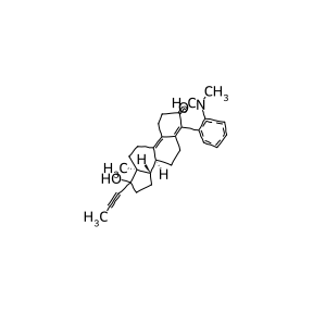 CC#CC1(O)CC[C@H]2[C@@H]3CCC4=C(c5ccccc5N(C)C)C(=O)CCC4=C3CC[C@@]21C